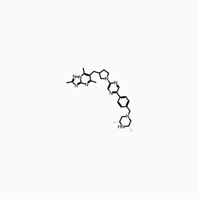 Cc1nc2nc(C)c(CC3CCN(c4cnc(-c5ccc(CN6C[C@@H](C)N[C@@H](C)C6)cc5)cn4)C3)c(C)n2n1